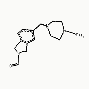 CN1CCN(Cc2ccc3c(c2)CN(C=O)C3)CC1